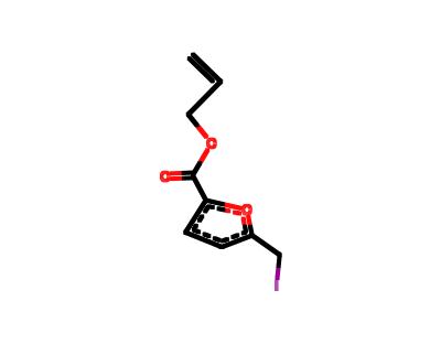 C=CCOC(=O)c1ccc(CI)o1